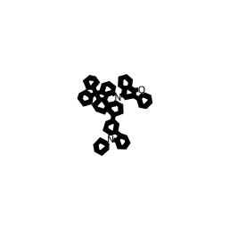 c1ccc(-n2c3ccccc3c3cc(-c4ccc(N(c5cccc6c5-c5ccccc5C6(c5ccccc5)c5ccccc5)c5cc6c7ccccc7oc6c6ccccc56)cc4)ccc32)cc1